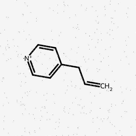 C=CCC1=CC=[N+]C=C1